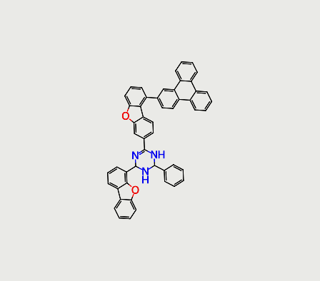 c1ccc(C2NC(c3ccc4c(c3)oc3cccc(-c5ccc6c7ccccc7c7ccccc7c6c5)c34)=NC(c3cccc4c3oc3ccccc34)N2)cc1